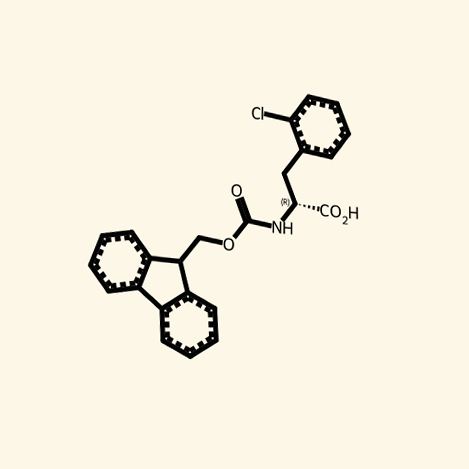 O=C(N[C@H](Cc1ccccc1Cl)C(=O)O)OCC1c2ccccc2-c2ccccc21